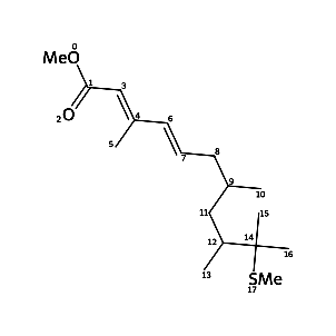 COC(=O)/C=C(C)/C=C/CC(C)CC(C)C(C)(C)SC